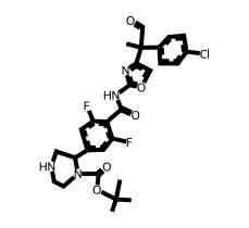 CC(C)(C)OC(=O)N1CCNCC1c1cc(F)c(C(=O)Nc2nc(C(C)(C=O)c3ccc(Cl)cc3)co2)c(F)c1